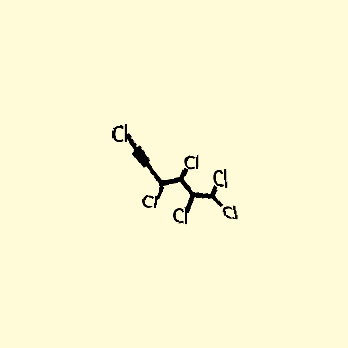 ClC#CC(Cl)C(Cl)C(Cl)C(Cl)Cl